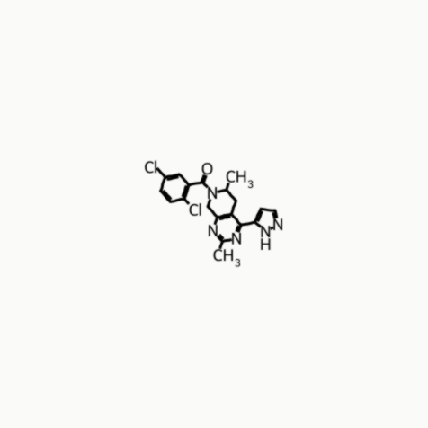 Cc1nc2c(c(-c3ccn[nH]3)n1)CC(C)N(C(=O)c1cc(Cl)ccc1Cl)C2